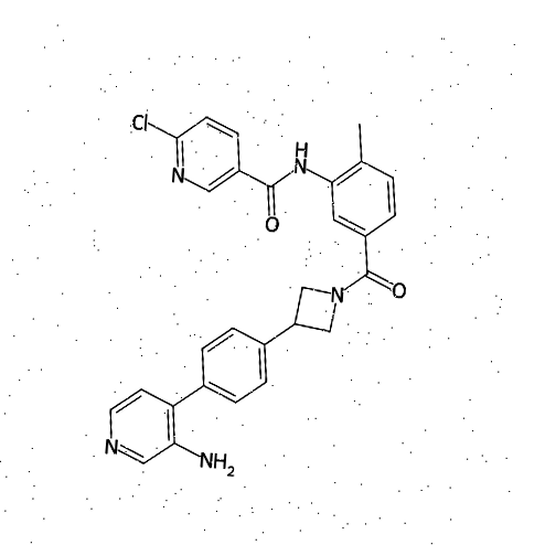 Cc1ccc(C(=O)N2CC(c3ccc(-c4ccncc4N)cc3)C2)cc1NC(=O)c1ccc(Cl)nc1